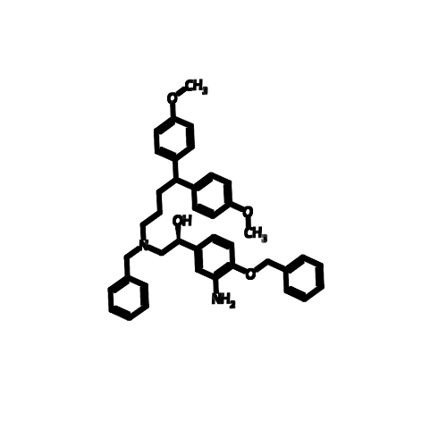 COc1ccc(C(CCCN(Cc2ccccc2)C[C@@H](O)c2ccc(OCc3ccccc3)c(N)c2)c2ccc(OC)cc2)cc1